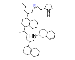 CCCC(C/C=C\CC1CCCN1)C1CCC(C(C)CCC(CNC2CCC3CCC=CC3C2)C2CCCC3=C2CCCC3)C2CCCCC12